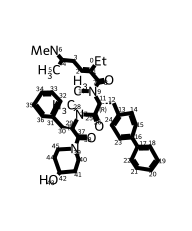 CCC(=CCC(C)NC)C(=O)N(C)[C@H](Cc1ccc(-c2ccccc2)cc1)C(=O)N(C)[C@H](Cc1ccccc1)C(=O)N1CCC(O)CC1